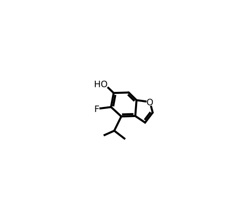 CC(C)c1c(F)c(O)cc2occc12